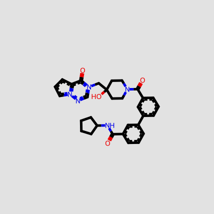 O=C(NC1CCCC1)c1cccc(-c2cccc(C(=O)N3CCC(O)(Cn4cnn5cccc5c4=O)CC3)c2)c1